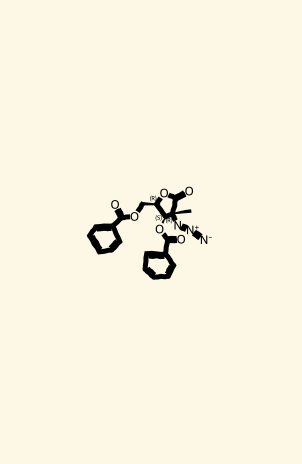 C[C@]1(N=[N+]=[N-])C(=O)O[C@H](COC(=O)c2ccccc2)[C@H]1OC(=O)c1ccccc1